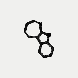 C1=CC=c2c(oc3ccccc23)=NC=1